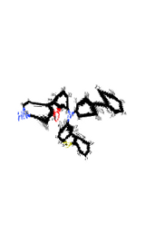 C1=Cc2c(oc3c(N(c4ccc(-c5ccccc5)cc4)c4ccc5sc6ccccc6c5c4)cccc23)CN1